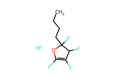 CCCCC1(F)OC(F)=C(F)C1F.F